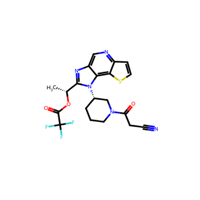 C[C@@H](OC(=O)C(F)(F)F)c1nc2cnc3ccsc3c2n1[C@H]1CCCN(C(=O)CC#N)C1